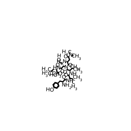 CC(C)[C@H](NC(=O)[C@@H](N)Cc1ccc(O)cc1)C(=O)N[C@H](C(=O)N(C(=O)[C@@H](N)CC(=O)N(C)C)[C@@H](CC(=O)O)C(=O)N[C@@H](CC(C)(C)C)C(=O)O)C(C)C